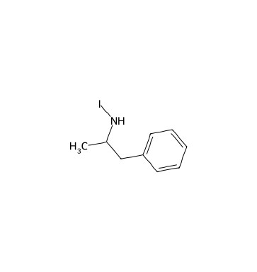 CC(Cc1ccccc1)NI